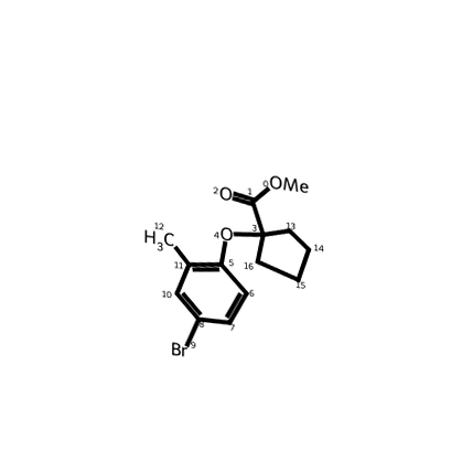 COC(=O)C1(Oc2ccc(Br)cc2C)CCCC1